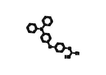 CCC(O)Oc1ccc(Oc2ccc(N(c3ccccc3)c3ccccc3)cc2)cc1